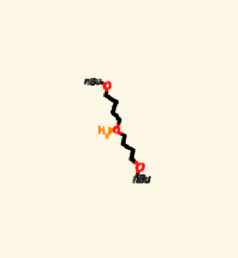 CCCCOCCCCOCCCCOCCCC.P